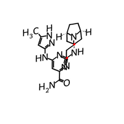 Cc1cc(Nc2cc(C(N)=O)nc(N[C@@H]3C[C@H]4CC[C@@H](C3)N4CCC#N)n2)n[nH]1